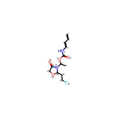 C=C/C=C/NC(=O)OC(C)N1C(=O)COC1CCF